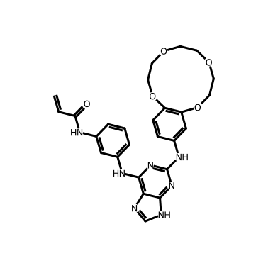 C=CC(=O)Nc1cccc(Nc2nc(Nc3ccc4c(c3)OCCOCCOCCO4)nc3[nH]cnc23)c1